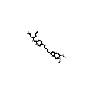 C=CCC(CC=C)Nc1ccc(/C=C/C=C/c2nc3cc(OC)c(OC)cc3s2)cc1